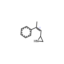 C/C(=C/C1CN1)c1ccccc1